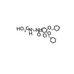 O=C(O)NCCNC(=O)c1ccc(OCc2ccccc2)c(OCc2ccccc2)c1Cl